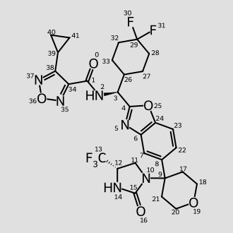 O=C(N[C@H](c1nc2cc(C3(N4C[C@@H](C(F)(F)F)NC4=O)CCOCC3)ccc2o1)C1CCC(F)(F)CC1)c1nonc1C1CC1